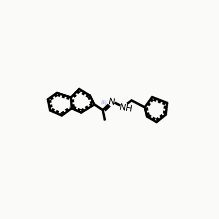 C/C(=N\NCc1ccccc1)c1ccc2ccccc2c1